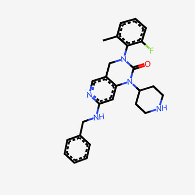 Cc1cccc(F)c1N1Cc2cnc(NCc3ccccc3)cc2N(C2CCNCC2)C1=O